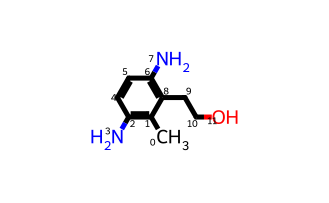 Cc1c(N)ccc(N)c1CCO